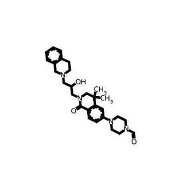 CC1(C)CN(CC(O)CN2CCc3ccccc3C2)C(=O)c2ccc(N3CCN(C=O)CC3)cc21